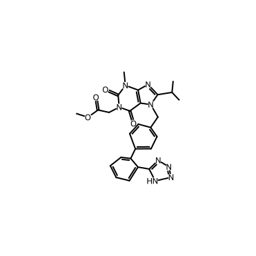 COC(=O)Cn1c(=O)c2c(nc(C(C)C)n2Cc2ccc(-c3ccccc3-c3nnn[nH]3)cc2)n(C)c1=O